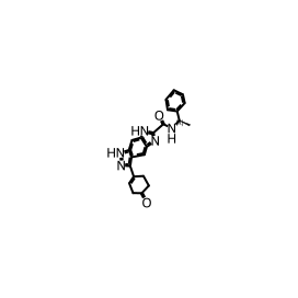 C[C@@H](NC(=O)c1nc2cc3c(C4=CCC(=O)CC4)n[nH]c3cc2[nH]1)c1ccccc1